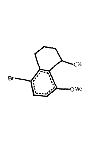 COc1ccc(Br)c2c1C(C#N)CCC2